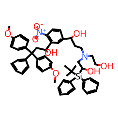 COc1ccc(C(CC(O)c2cc(C(O)CCN(CCO)CC(O)[Si](c3ccccc3)(c3ccccc3)C(C)(C)C)ccc2[N+](=O)[O-])(c2ccccc2)c2ccc(OC)cc2)cc1